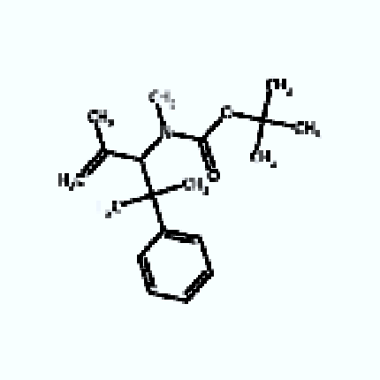 C=C(C)C(N(C)C(=O)OC(C)(C)C)C(C)(C)c1ccccc1